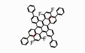 Fc1ccc(-c2c3cc(-c4ccccc4)ccc3c(-c3ccc(-c4ccccc4)cc3)c3c(-c4ccc(F)cc4F)c4cc(-c5ccccc5)ccc4c(-c4ccc(-c5ccccc5)cc4)c23)c(F)c1